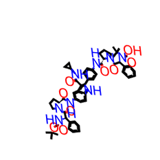 CC(C)(C)OC(=O)N[C@@H](C(=O)N1CCC[C@H]1C(=O)Nc1ccc2[nH]c(-c3ccc(NC(=O)[C@@H]4CCCN4C(=O)[C@@H](c4ccccc4)N(C(=O)O)C(C)(C)C)cc3)c(C(=O)NC3CC3)c2c1)c1ccccc1